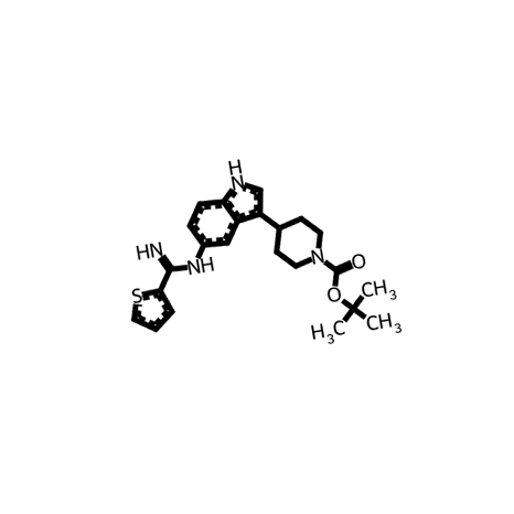 CC(C)(C)OC(=O)N1CCC(c2c[nH]c3ccc(NC(=N)c4cccs4)cc23)CC1